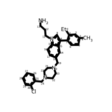 CCc1cc(C)ccc1-c1cn(CCCN)c2ccc(CN3CCN(Cc4ccccc4Cl)CC3)cc12